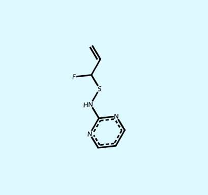 C=CC(F)SNc1ncccn1